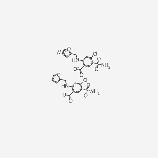 NS(=O)(=O)c1cc(C(=O)[O-])c(NCc2ccco2)cc1Cl.NS(=O)(=O)c1cc(C(=O)[O-])c(NCc2ccco2)cc1Cl.[Mg+2]